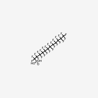 O=P(O)(O)C(F)(F)C(F)(F)C(F)(F)C(F)(F)C(F)(F)C(F)(F)C(F)(F)C(F)(F)C(F)(F)C(F)(F)C(F)(F)C(F)(F)F